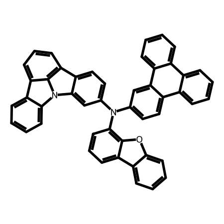 c1ccc2c(c1)oc1c(N(c3ccc4c5ccccc5c5ccccc5c4c3)c3ccc4c5cccc6c7ccccc7n(c4c3)c65)cccc12